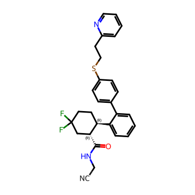 N#CCNC(=O)[C@@H]1CC(F)(F)CC[C@H]1c1ccccc1-c1ccc(SCCc2ccccn2)cc1